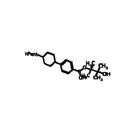 CCCCCC1CCC(c2ccc(B(O)OC(C)(C)C(C)(C)O)cc2)CC1